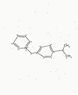 CC(C)c1ccc(C[n+]2ccccc2)cc1